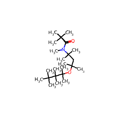 CN(C(=O)C(C)(C)C)C(C)(C)CC(C)(C)OC(C)(C)C(C)(C)C(C)(C)C